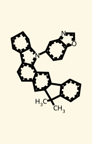 CC1(C)c2ccccc2-c2cc3c(ccc4c5ccccc5n(-c5ccc6ocnc6c5)c34)cc21